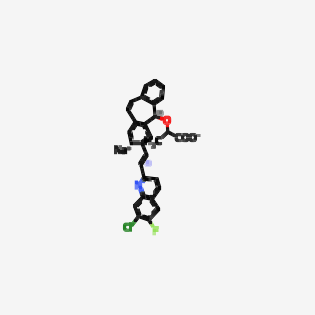 CC(O[C@@H]1c2ccccc2C=Cc2ccc(/C=C/c3ccc4cc(F)c(Cl)cc4n3)cc21)C(=O)[O-].[Na+]